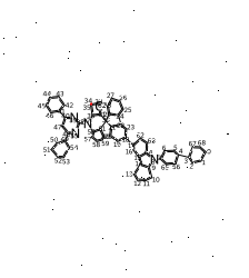 c1ccc(-c2ccc(-n3c4ccccc4c4cc(-c5ccc6c(c5)-c5ccccc5C65c6ccccc6N(c6nc(-c7ccccc7)cc(-c7ccccc7)n6)c6ccccc65)ccc43)cc2)cc1